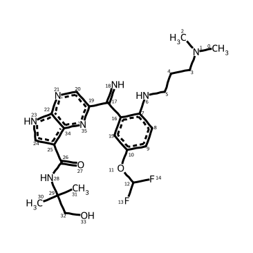 CN(C)CCCNc1ccc(OC(F)F)cc1C(=N)c1cnc2[nH]cc(C(=O)NC(C)(C)CO)c2n1